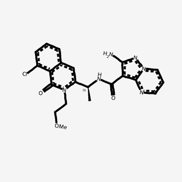 COCCn1c([C@H](C)NC(=O)c2c(N)nn3cccnc23)cc2cccc(Cl)c2c1=O